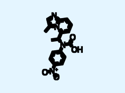 Cc1cnc2cccc(C(C)N(C(=O)O)c3ccc([N+](=O)[O-])cc3)n12